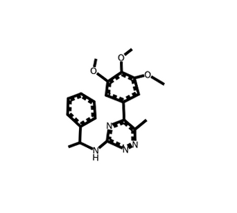 COc1cc(-c2nc(NC(C)c3ccccc3)nnc2C)cc(OC)c1OC